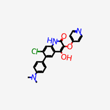 CN(C)c1ccc(-c2cc3c(O)c(Oc4ccncc4)c(=O)[nH]c3cc2Cl)cc1